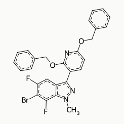 Cn1nc(-c2ccc(OCc3ccccc3)nc2OCc2ccccc2)c2cc(F)c(Br)c(F)c21